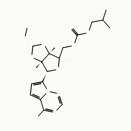 CO[C@H]1O[C@H]2[C@H](c3ccc4c(N)ncnn34)O[C@](C)(COC(=O)OCC(C)C)[C@H]2O1